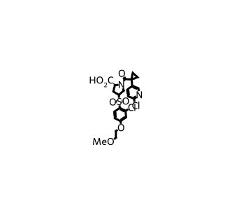 COCCOc1ccc(S(=O)(=O)C2C[C@H](C(=O)O)N(C(=O)C3(c4ccc(Cl)nc4)CC3)C2)c(Cl)c1